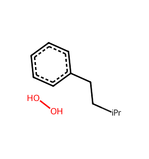 CC(C)CCc1ccccc1.OO